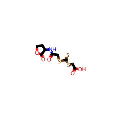 O=C(O)CSC(=S)SCC(=O)NC1CCOC1=O